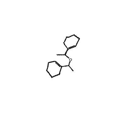 CC(OC(C)C1=CCCCC1)C1=CCCCC1